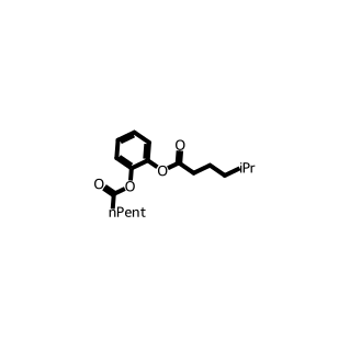 CCCCCC(=O)Oc1ccccc1OC(=O)CCCC(C)C